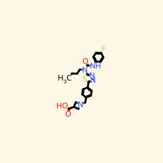 CCCCN(C(=O)Nc1ccc(F)cc1)c1nnc(-c2ccc(CN3CC(C(=O)O)C3)cc2)s1